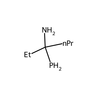 CCCC(N)(P)CC